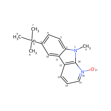 Cn1c2cc[c]([Sn]([CH3])([CH3])[CH3])cc2c2ccc[n+]([O-])c21